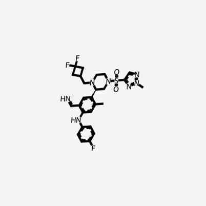 Cc1cc(Nc2ccc(F)cc2)c(C=N)cc1[C@@H]1CN(S(=O)(=O)c2cnn(C)n2)CCN1CC1CC(F)(F)C1